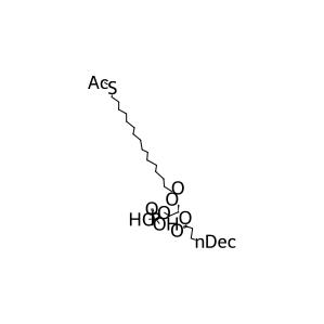 CCCCCCCCCCCCC(=O)O[C@H](COC(=O)CCCCCCCCCCCCCCCSC(C)=O)COP(=O)(O)O